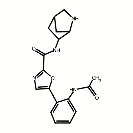 CC(=O)Nc1ccccc1-c1cnc(C(=O)NC2CC3CNC2C3)o1